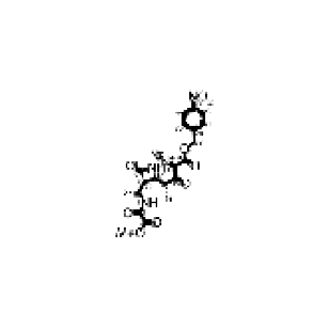 COC(=O)C(=O)N[C@H](C)[C@H]1C(=O)N[C@@H]1[C@@H](C)C(=O)C(=[N+]=[N-])C(=O)OCc1ccc([N+](=O)[O-])cc1